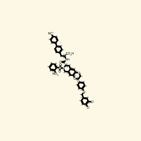 N#Cc1ccc(-c2ccc(C[C@H](NC(=O)[C@@H]3Cc4cc5c(cc4CN3S(=O)(=O)c3ccccc3[N+](=O)[O-])O[C@@H](c3ccc(OCc4ccc(Cl)c(Cl)c4)cc3)CO5)C(=O)O)cc2)cc1